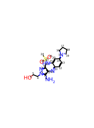 Cc1nn(CCO)c(N)c1/N=C1/C=CC(=[N+]2CCCC2)C=C1NS(C)(=O)=O